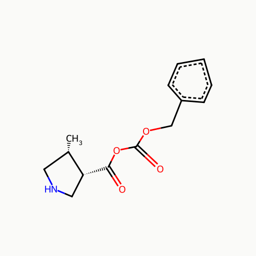 C[C@H]1CNC[C@H]1C(=O)OC(=O)OCc1ccccc1